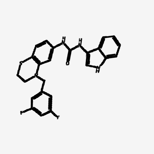 O=C(Nc1ccc2c(c1)N(Cc1cc(F)cc(F)c1)CCS2)Nc1c[nH]c2ccccc12